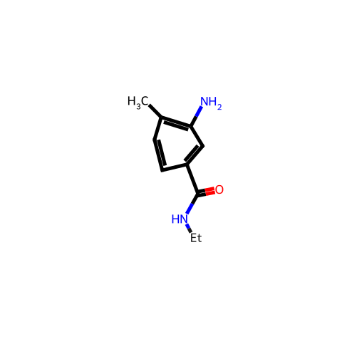 CCNC(=O)c1ccc(C)c(N)c1